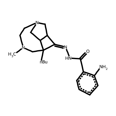 CCCCC12CN(C)CCN3CC(/C1=N/NC(=O)c1ccccc1N)C2C3